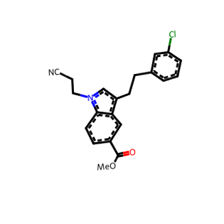 COC(=O)c1ccc2c(c1)c(CCc1cccc(Cl)c1)cn2CCC#N